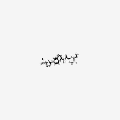 CN1CCC(C(=O)N[C@@H]2COc3cc(-c4noc(C(F)F)n4)ccc32)CC1CO